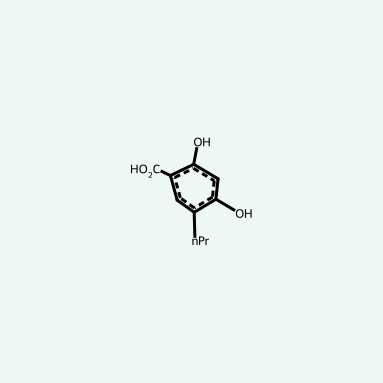 CCCc1cc(C(=O)O)c(O)cc1O